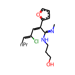 CCC/C=C(Cl)/C=C(\C(=N/C)NCCCO)c1ccco1